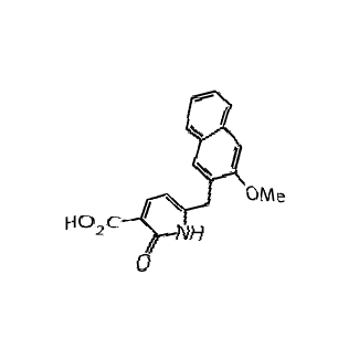 COc1cc2ccccc2cc1Cc1ccc(C(=O)O)c(=O)[nH]1